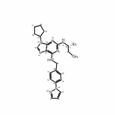 CC[C@H](CO)Nc1nc(NCc2ccc(-n3cccn3)cc2)c2ncn(C3CCCC3)c2n1